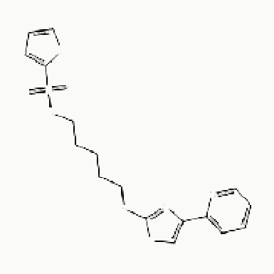 O=S(=O)(NCCCCCNc1nc(-c2ccccn2)cs1)c1cccs1